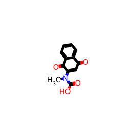 CN(C(=O)O)C1=CC(=O)c2ccccc2C1=O